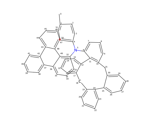 Cc1ccc(N(c2cccc3c2-c2ccccc2Cc2ccccc2-c2ccccc2C3)c2cccc3c4ccccc4c4ccccc4c23)cc1